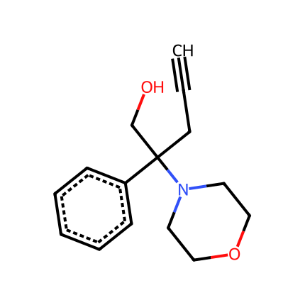 C#CCC(CO)(c1ccccc1)N1CCOCC1